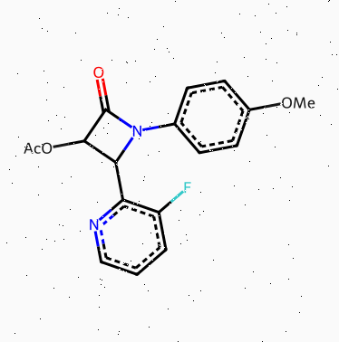 COc1ccc(N2C(=O)C(OC(C)=O)C2c2ncccc2F)cc1